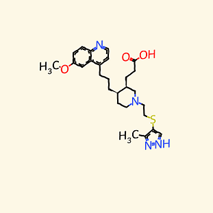 COc1ccc2nccc(CCC[C@@H]3CCN(CCSc4c[nH]nc4C)C[C@@H]3CCC(=O)O)c2c1